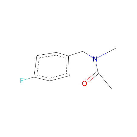 CC(=O)N(C)Cc1ccc(F)cc1